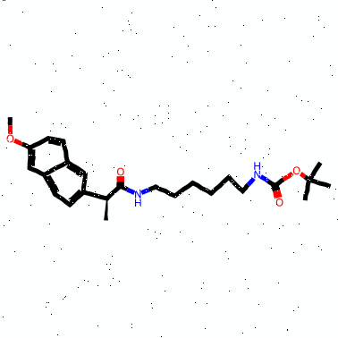 COc1ccc2cc([C@H](C)C(=O)NCCCCCCNC(=O)OC(C)(C)C)ccc2c1